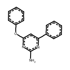 Nc1nc(Oc2ccccc2)cc(-c2ccccc2)n1